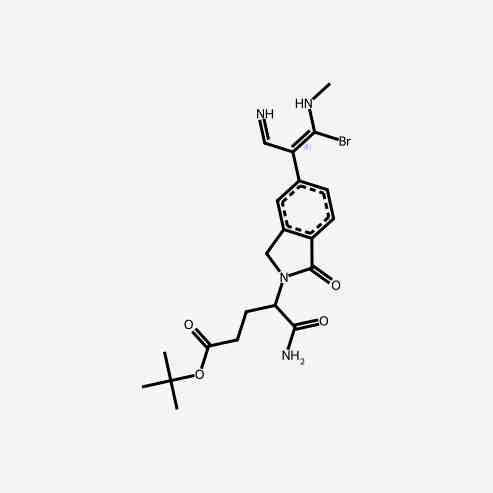 CN/C(Br)=C(\C=N)c1ccc2c(c1)CN(C(CCC(=O)OC(C)(C)C)C(N)=O)C2=O